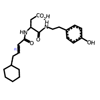 O=C(O)CC(NC(=O)/C=C/CC1CCCCC1)C(=O)NCCc1ccc(O)cc1